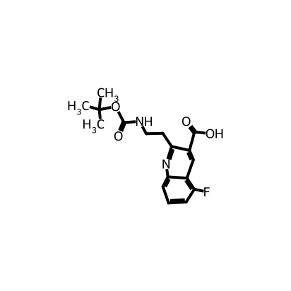 CC(C)(C)OC(=O)NCCc1nc2cccc(F)c2cc1C(=O)O